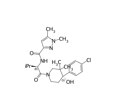 Cc1cc(C(=O)N[C@@H](C(=O)N2CC[C@](O)(c3ccc(Cl)cc3)C(C)(C)C2)C(C)C)nn1C